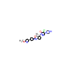 COc1ccc(-c2ccc(C(=O)Nc3cccc(Cn4ncc(N5CCNCC5)c(Cl)c4=O)c3C)cc2)cn1